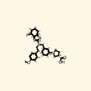 COc1ccc(CCN(Cc2cccc(N3CC[C@H](C(=O)O)C3)c2)c2nc3cccc(F)c3s2)cc1